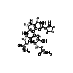 C[C@H](NC(=O)[C@H](C)NC(=O)[C@@H]1CCCN1)C(=O)N[C@@H](CCC(N)=O)C(=O)N[C@@H](CCC(N)=O)C(=O)O